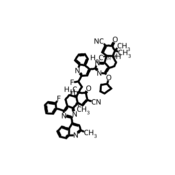 Cc1cc(-c2nc(-c3ccccc3F)c3c(n2)[C@]2(C)C=C(C#N)C(=O)C(C)(CC(F)c4cc(-c5nc(OC6CCCC6)c6c(n5)[C@]5(C)C=C(C#N)C(=O)C(C)(C)[C@H]5CC6)c5ccccc5n4)[C@H]2CC3)c2ccccc2n1